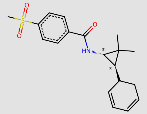 CC1(C)[C@@H](NC(=O)c2ccc(S(C)(=O)=O)cc2)[C@@H]1C1C=CC=CC1